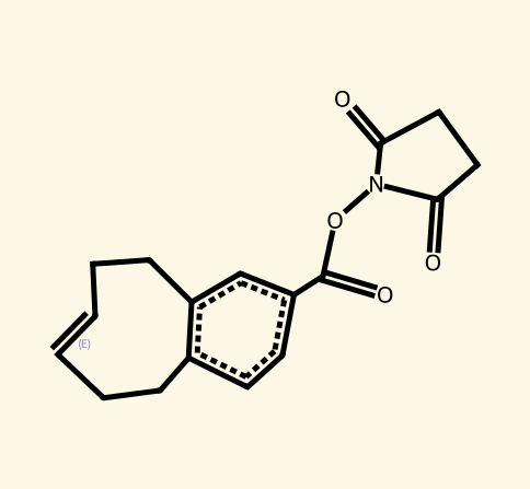 O=C(ON1C(=O)CCC1=O)c1ccc2c(c1)CC/C=C/CC2